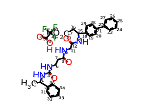 CC(NC(=O)NCCC(=O)NCC(=O)NC(CC(=O)O)c1ccc(-c2ccccc2)cc1)c1ccccc1.O=C(O)C(F)(F)F